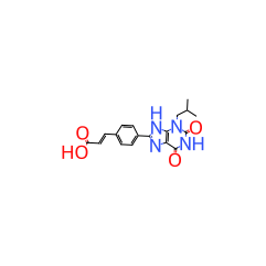 CC(C)Cn1c(=O)[nH]c(=O)c2nc(-c3ccc(/C=C/C(=O)O)cc3)[nH]c21